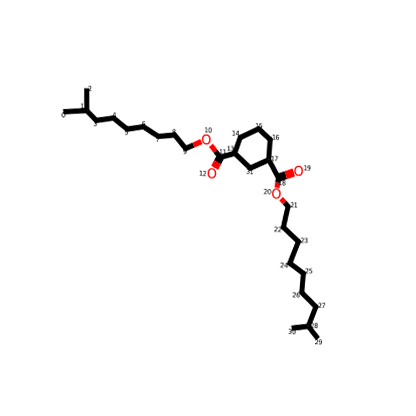 CC(C)CCCCCCCOC(=O)C1CCCC(C(=O)OCCCCCCCC(C)C)C1